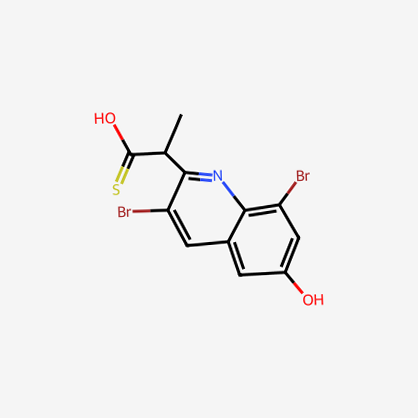 CC(C(O)=S)c1nc2c(Br)cc(O)cc2cc1Br